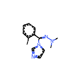 Cc1ccccc1/C(=N/N(C)C)n1ccnc1